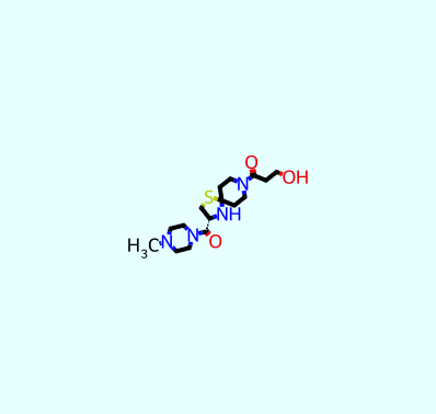 CN1CCN(C(=O)[C@@H]2CSC3(CCN(C(=O)CCO)CC3)N2)CC1